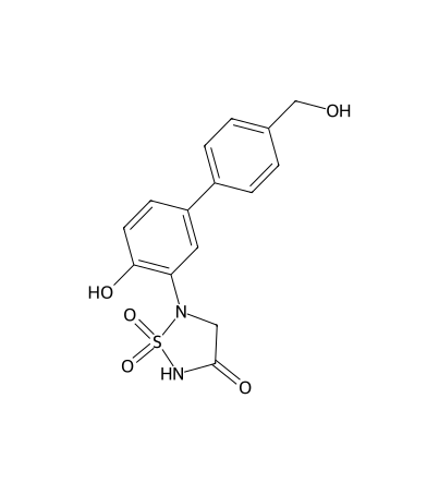 O=C1CN(c2cc(-c3ccc(CO)cc3)ccc2O)S(=O)(=O)N1